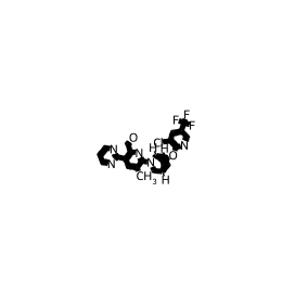 Cc1cc(-c2ncccn2)c(C=O)nc1N1C[C@@H]2CC[C@H]1[C@H](Oc1ncc(C(F)(F)F)cc1Cl)C2